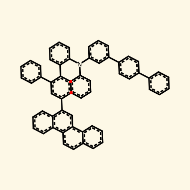 c1ccc(-c2ccc(-c3cccc(N(c4ccccc4)c4ccccc4-c4ccc(-c5cc6c7ccccc7ccc6c6ccccc56)cc4-c4ccccc4)c3)cc2)cc1